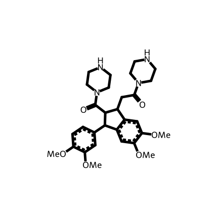 COc1ccc(C2c3cc(OC)c(OC)cc3C(CC(=O)N3CCNCC3)C2C(=O)N2CCNCC2)cc1OC